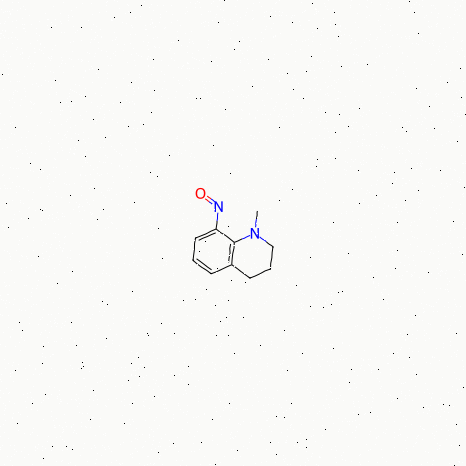 CN1CCCc2cccc(N=O)c21